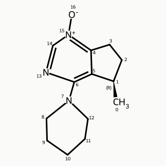 C[C@@H]1CCc2c1c(N1CCCCC1)nc[n+]2[O-]